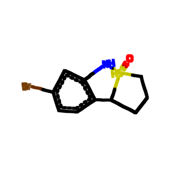 O=[SH]12CCCC1c1ccc(Br)cc1N2